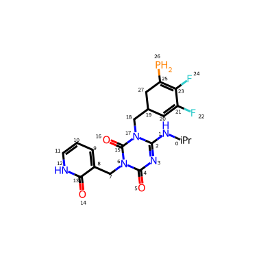 CC(C)Nc1nc(=O)n(Cc2ccc[nH]c2=O)c(=O)n1CC1C=C(F)C(F)=C(P)C1